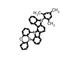 Cc1cc(C)c(-n2c3ccccc3c3c2ccc2c4cccc5c4n(c23)-c2cccc3c2B5c2ccccc2O3)c(C)c1